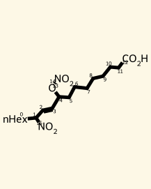 CCCCCCC(C=CC(CCCCCCCC(=O)O)O[N+](=O)[O-])[N+](=O)[O-]